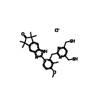 COc1cc[n+](-c2nc3cc4c(cc3[nH]2)C(C)(C)C(=O)C4(C)C)c(Cc2nc(CS)cc(CS)n2)c1C.[Cl-]